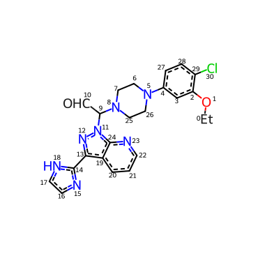 CCOc1cc(N2CCN(C(C=O)n3nc(-c4ncc[nH]4)c4cccnc43)CC2)ccc1Cl